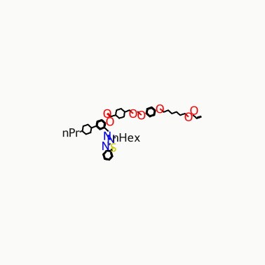 C=CC(=O)OCCCCCCOc1ccc(OCOCC2CCC(C(=O)Oc3ccc(C4CCC(CCC)CC4)cc3/C=N/N(CCCCCC)c3nc4ccccc4s3)CC2)cc1